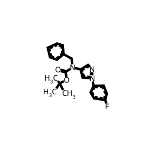 CC(C)(C)OC(=O)N(Cc1ccccc1)c1cnn(-c2ccc(F)cc2)c1